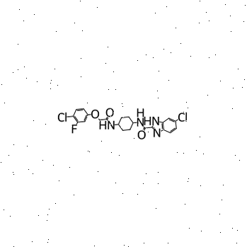 O=C(COc1ccc(Cl)c(F)c1)NC1CCC(NC(=O)c2nc3ccc(Cl)cc3[nH]2)CC1